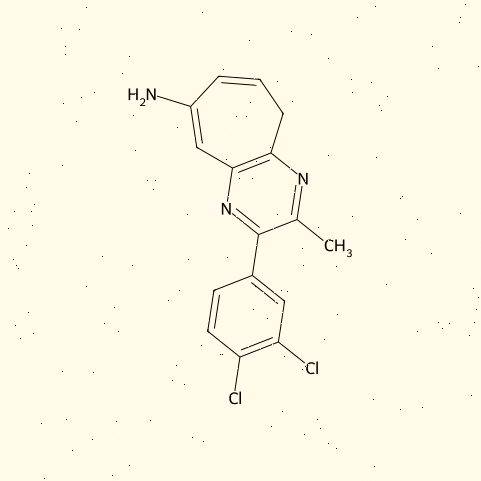 Cc1nc2c(nc1-c1ccc(Cl)c(Cl)c1)C=C(N)C=CC2